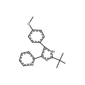 COc1ccc(-c2[nH]c(C(C)(C)C)nc2-c2ccccn2)cc1